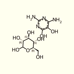 Nc1nc(N)c(O)c(O)n1.OC[C@H]1OC(O)[C@H](O)[C@@H](O)[C@@H]1O